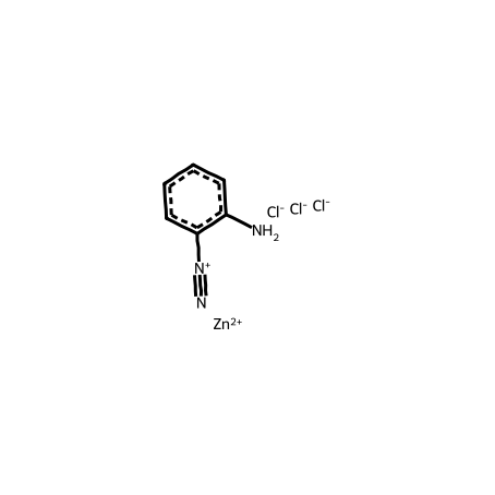 N#[N+]c1ccccc1N.[Cl-].[Cl-].[Cl-].[Zn+2]